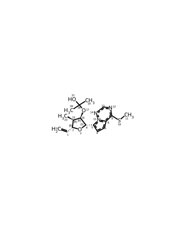 C=C[C@H]1O[C@@H](c2ccc3c(SC)ncnn23)[C@H](OC(C)(C)O)[C@@H]1C